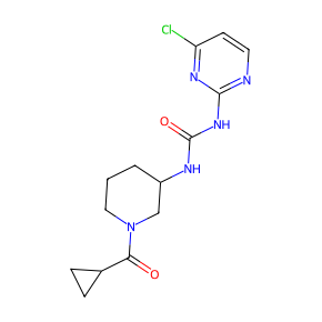 O=C(Nc1nccc(Cl)n1)NC1CCCN(C(=O)C2CC2)C1